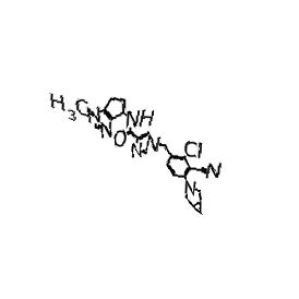 Cn1cnc2c1CC[C@H]2NC(=O)c1cn(Cc2ccc(N3CC4CC4C3)c(C#N)c2Cl)cn1